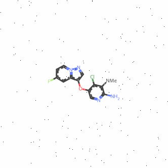 CNc1c(N)ncc(Oc2cnn3ccc(F)cc23)c1Cl